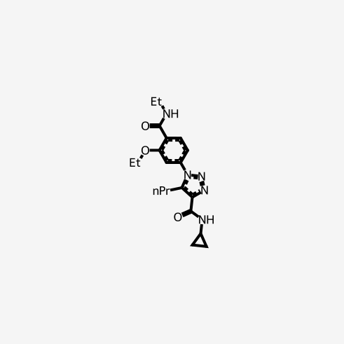 CCCc1c(C(=O)NC2CC2)nnn1-c1ccc(C(=O)NCC)c(OCC)c1